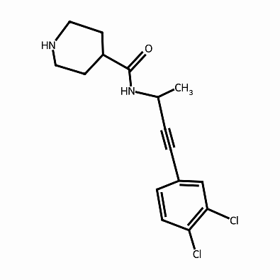 CC(C#Cc1ccc(Cl)c(Cl)c1)NC(=O)C1CCNCC1